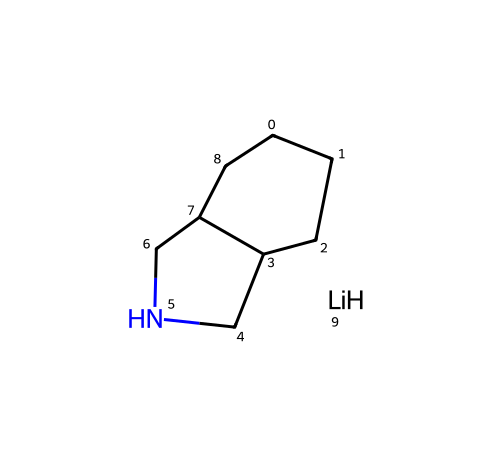 C1CCC2CNCC2C1.[LiH]